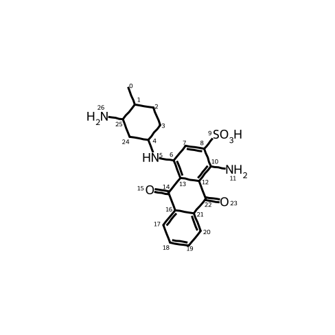 CC1CCC(Nc2cc(S(=O)(=O)O)c(N)c3c2C(=O)c2ccccc2C3=O)CC1N